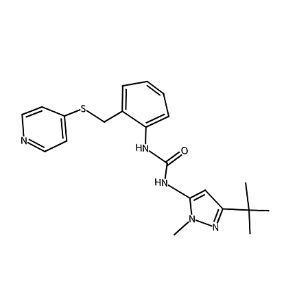 Cn1nc(C(C)(C)C)cc1NC(=O)Nc1ccccc1CSc1ccncc1